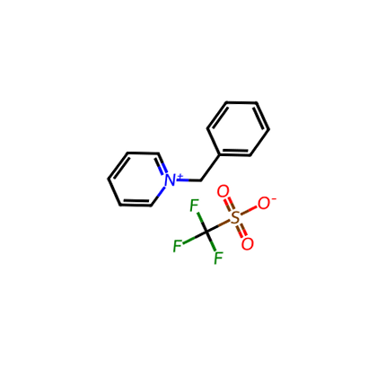 O=S(=O)([O-])C(F)(F)F.c1ccc(C[n+]2ccccc2)cc1